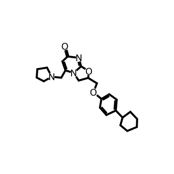 O=c1cc(CN2CCCC2)n2c(n1)OC(COc1ccc(C3CCCCC3)cc1)C2